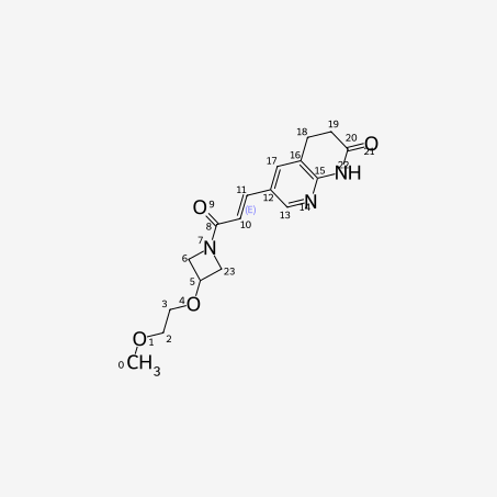 COCCOC1CN(C(=O)/C=C/c2cnc3c(c2)CCC(=O)N3)C1